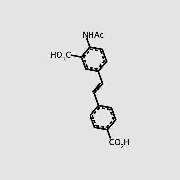 CC(=O)Nc1ccc(/C=C/c2ccc(C(=O)O)cc2)cc1C(=O)O